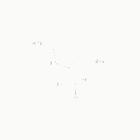 CCC(Br)(CC)C(=O)NC(N)=O.CCCCCCl